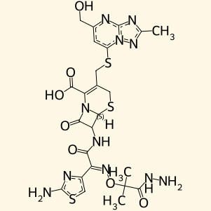 Cc1nc2nc(CO)cc(SCC3=C(C(=O)O)N4C(=O)C(NC(=O)C(=NOC(C)(C)C(=O)NN)c5csc(N)n5)[C@@H]4SC3)n2n1